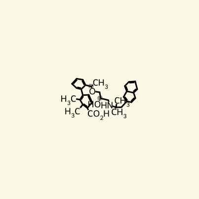 Cc1c(C(=O)O)ccc(-c2ccccc2[C@@H](C)OC[C@H](O)CNC(C)(C)Cc2ccc3ccccc3c2)c1C